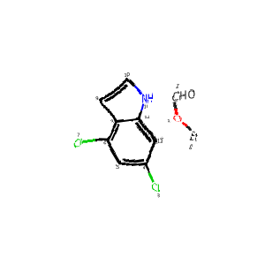 CCOC=O.Clc1cc(Cl)c2cc[nH]c2c1